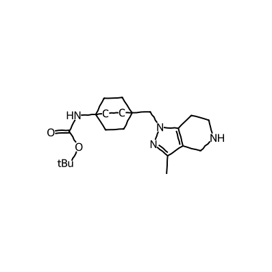 Cc1nn(CC23CCC(NC(=O)OC(C)(C)C)(CC2)CC3)c2c1CNCC2